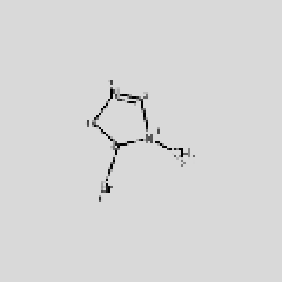 CN1C=N[C]C1Br